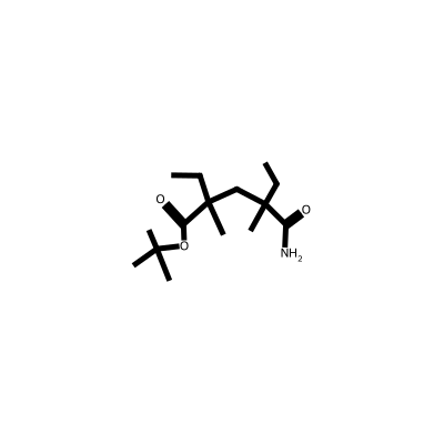 CCC(C)(CC(C)(CC)C(=O)OC(C)(C)C)C(N)=O